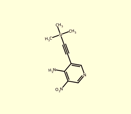 C[Si](C)(C)C#Cc1cncc([N+](=O)[O-])c1N